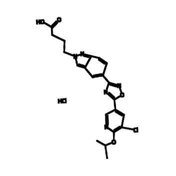 CC(C)Oc1ncc(-c2nc(-c3ccc4nn(CCCC(=O)O)cc4c3)no2)cc1Cl.Cl